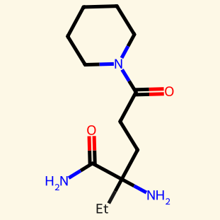 CCC(N)(CCC(=O)N1CCCCC1)C(N)=O